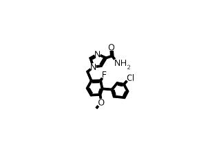 COc1ccc(Cn2cnc(C(N)=O)c2)c(F)c1-c1cccc(Cl)c1